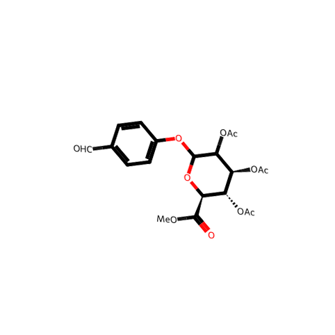 COC(=O)[C@H]1OC(Oc2ccc(C=O)cc2)C(OC(C)=O)[C@@H](OC(C)=O)[C@@H]1OC(C)=O